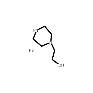 Br.OCCN1CCNCC1